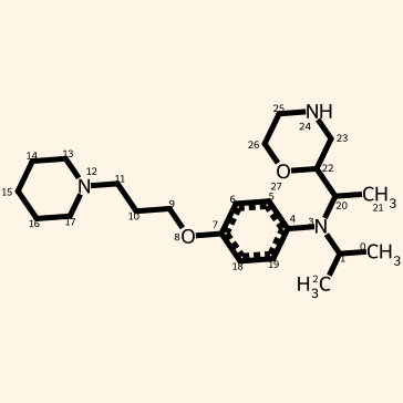 CC(C)N(c1ccc(OCCCN2CCCCC2)cc1)C(C)C1CNCCO1